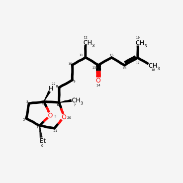 CC[C@@]12CC[C@@H](O1)[C@](C)(CCCC(C)C(=O)CC=C(C)C)OC2